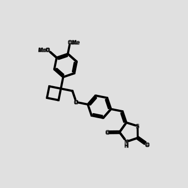 COc1ccc(C2(COc3ccc(C=C4SC(=O)NC4=O)cc3)CCC2)cc1OC